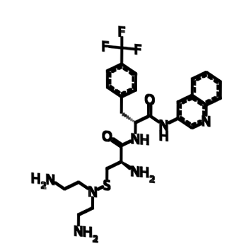 NCCN(CCN)SC[C@H](N)C(=O)N[C@H](Cc1ccc(C(F)(F)F)cc1)C(=O)Nc1cnc2ccccc2c1